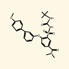 COc1ccc(-c2cccc(Oc3ccc(C(=O)N(C)C)cc3S(=O)(=O)NC(=O)NC(C)(C)C)c2)cc1